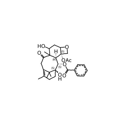 CC(=O)O[C@@]12COC1CC(O)C1(C)C(=O)CC3=C(C)CC[C@@](O)([C@@H](OC(=O)c4ccccc4)[C@@H]12)C3(C)C